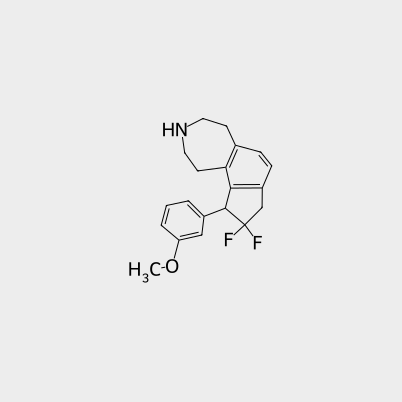 COc1cccc(C2c3c(ccc4c3CCNCC4)CC2(F)F)c1